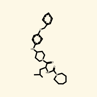 CC(C)CC(NC(=O)N1CCCCCC1)C(=O)N1CCC(Nc2ccc(OCc3ccccc3)cc2)CC1